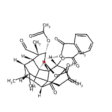 C=C1C[C@@]23[C@H](O)[C@H]4[C@@H]5[C@](C)(C=O)[C@H](OC(C)=O)[C@H](OC(=O)c6ccccc6)[C@@H](OC(C)=O)[C@@]56[C@@H]2[C@H](OC(C)=O)[C@@H]1C(=O)[C@@H]3[C@H]6N4C